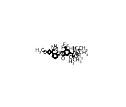 COC1CC(c2cccc(N3Cc4c(cc([C@@H](N[S@+]([O-])C(C)(C)C)C(C)(C)C)cc4C(F)(F)F)C3=O)c2)(c2nncn2C)C1